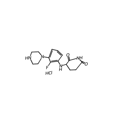 Cl.O=C1CCC(Nc2cccc(N3CCNCC3)c2F)C(=O)N1